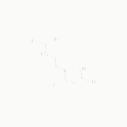 CC(C)CN(C)C(=O)CCNC(C)C